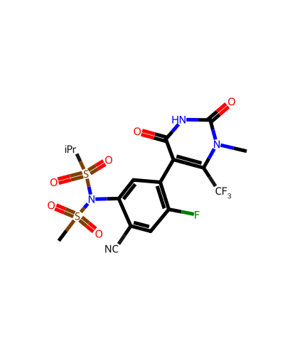 CC(C)S(=O)(=O)N(c1cc(-c2c(C(F)(F)F)n(C)c(=O)[nH]c2=O)c(F)cc1C#N)S(C)(=O)=O